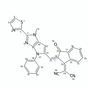 Cn1c(-c2nccs2)nc2c1cc(/C=C1\C(=O)c3ccccc3C1=C(C#N)C#N)n2-c1ccccc1